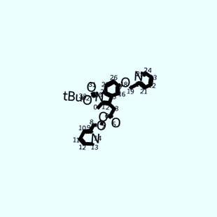 Cc1c(CC(=O)OOCc2ccccn2)c2cc(OCc3ccccn3)ccc2n1C(=O)OC(C)(C)C